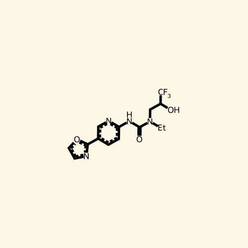 CCN(CC(O)C(F)(F)F)C(=O)Nc1ccc(-c2ncco2)cn1